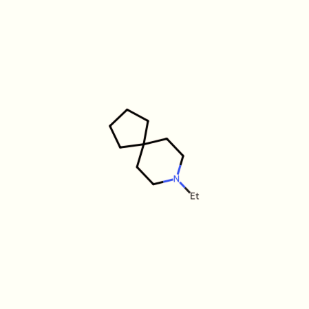 CCN1CCC2(CCCC2)CC1